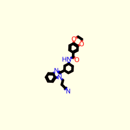 N#CCCn1c(C2CCCC(NC(=O)c3ccc4c(c3)OCCO4)C2)nc2ccccc21